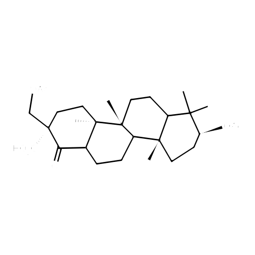 CC(=O)OC[C@@]1(C(=O)O)CC[C@]2(C)C(CCC3[C@@]4(C)CC[C@H](OC(C)=O)C(C)(C)C4CC[C@]32C)C1=O